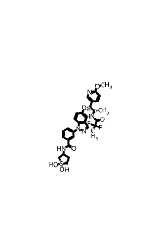 COc1ccc([C@@H](Oc2ccc3c(cnn3-c3cccc(C(=O)NC4CCS(O)(O)C4)c3)c2)[C@H](C)NC(=O)C(C)(F)F)cn1